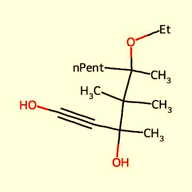 CCCCCC(C)(OCC)C(C)(C)C(C)(O)C#CO